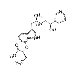 CC[C@H](Oc1cccc2c(C[C@@H](C)NC[C@H](O)c3cccnc3)c[nH]c12)C(=O)O